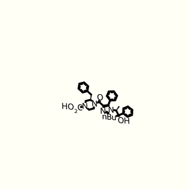 CCCCC(O)(c1ccccc1)[C@H](C)n1cnc(C(=O)N2CCN(C(=O)O)C[C@H]2Cc2ccccc2)c1-c1ccccc1